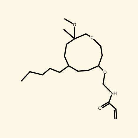 C=CC(=O)NCOC1CCCCC(C)(OC)CCC(CCCCC)CC1